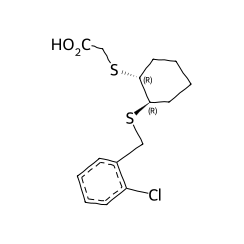 O=C(O)CS[C@@H]1CCCC[C@H]1SCc1ccccc1Cl